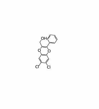 OCC1=C(c2ccccc2)Oc2cc(Cl)c(Cl)cc2O1